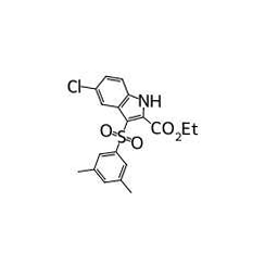 CCOC(=O)c1[nH]c2ccc(Cl)cc2c1S(=O)(=O)c1cc(C)cc(C)c1